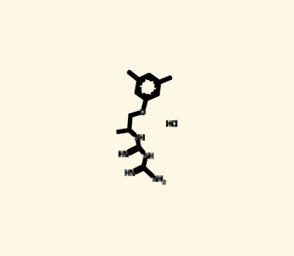 Cc1cc(C)cc(OCC(C)NC(=N)NC(=N)N)c1.Cl